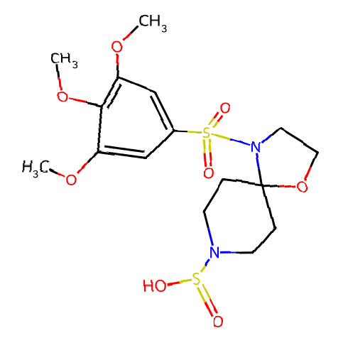 COc1cc(S(=O)(=O)N2CCOC23CCN(S(=O)O)CC3)cc(OC)c1OC